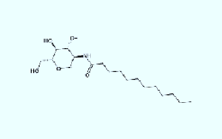 CCCCCCCCCCCC(=O)N[C@H]1[CH]O[C@H](CO)[C@@H](O)[C@@H]1O